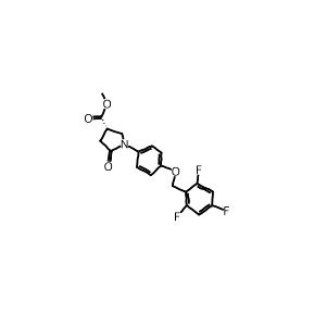 COC(=O)[C@H]1CC(=O)N(c2ccc(OCc3c(F)cc(F)cc3F)cc2)C1